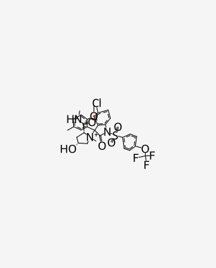 CNC(=O)[C@@H]1C[C@@H](O)C[N+]1(C)C1(c2cc(C)ccc2OC)C(=O)N(S(=O)(=O)c2ccc(OC(F)(F)F)cc2)c2ccc(Cl)cc21